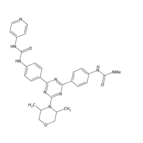 CNC(=O)Nc1ccc(-c2nc(-c3ccc(NC(=O)Nc4ccncc4)cc3)nc(N3C(C)COCC3C)n2)cc1